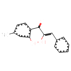 N#Cc1ccc(C(=O)C(O)=Cc2ccccc2)c(O)c1